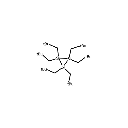 CC(C)(C)C[Si]1(CC(C)(C)C)[Si](CC(C)(C)C)(CC(C)(C)C)[Si]1(CC(C)(C)C)CC(C)(C)C